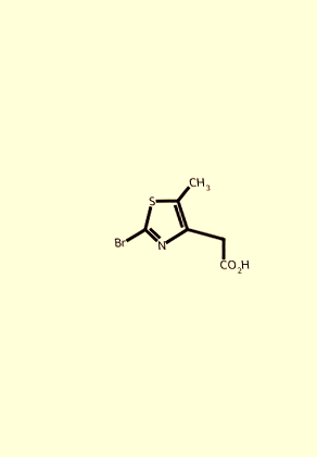 Cc1sc(Br)nc1CC(=O)O